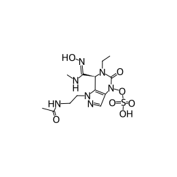 CCN1C(=O)N(OS(=O)(=O)O)c2cnn(CCNC(C)=O)c2[C@H]1/C(=N/O)NC